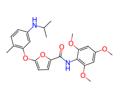 COc1cc(OC)c(NC(=O)c2ccc(Oc3cc(NC(C)C)ccc3C)o2)c(OC)c1